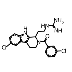 N=C(N)NCCC1c2[nH]c3ccc(Cl)cc3c2CCN1C(=O)c1cccc(Cl)c1